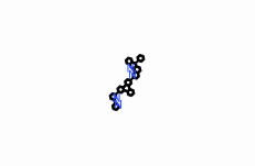 c1ccc(-c2c3ccccc3nc3c2ccc2ccc(-c4ccc5c6ccc(-c7cccc(-c8ccccn8)n7)cc6c6ccccc6c5c4)nc23)cc1